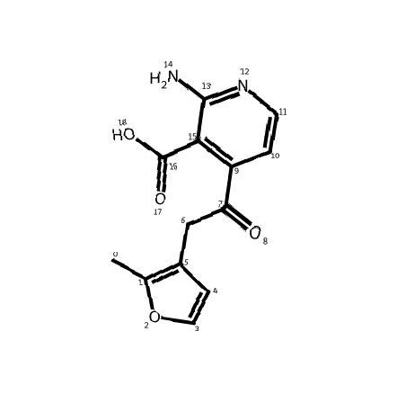 Cc1occc1CC(=O)c1ccnc(N)c1C(=O)O